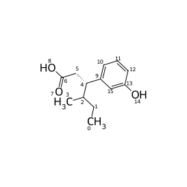 CCC(C)[C@H](CC(=O)O)c1cccc(O)c1